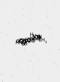 Cn1ncc2cnc(C(=O)Nc3ccc4c(c3)CN(C3CCC(=O)NC3=O)C4=O)nc21